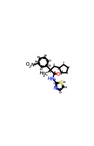 CC(CC1CCCC1)(C(=O)Nc1nccs1)c1cccc([N+](=O)[O-])c1